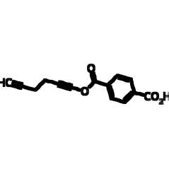 C#CCCC#COC(=O)c1ccc(C(=O)O)cc1